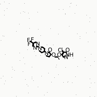 C[C@@H](CO[C@H]1CCN(C2CCN(c3ncc(C(F)(F)F)cn3)CC2)C1=O)Oc1cn[nH]c(=O)c1Cl